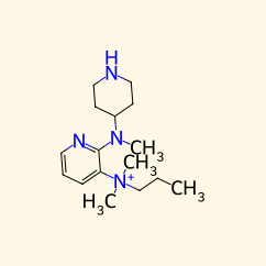 CCC[N+](C)(C)c1cccnc1N(C)C1CCNCC1